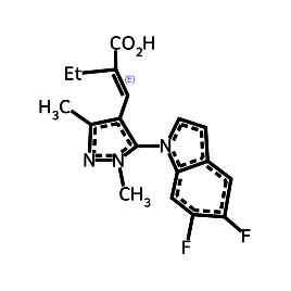 CC/C(=C\c1c(C)nn(C)c1-n1ccc2cc(F)c(F)cc21)C(=O)O